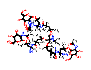 CC(=O)NC1C(OC(C)(C)CC(C)(N)NC(=O)C(C)(C)CC(C)(C)OCC(COC(C)(C)CC(C)(C)C(=O)NC(C)(N)CC(C)(C)OC2OC(CO)C(O)C(O)C2NC(C)=O)(COC(C)(C)CC(C)(C)C(=O)NC(C)(N)CC(C)(C)OC2OC(CO)C(O)C(O)C2NC(C)=O)NC(C)(C)C)OC(CO)C(O)C1O